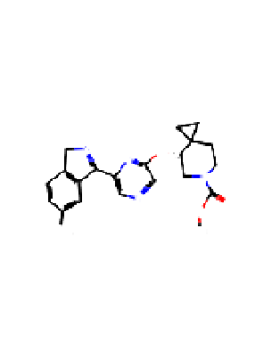 Cc1ccc2c(c1)C(c1cncc(O[C@H]3CN(C(=O)OC(C)(C)C)CCC34CC4)n1)=NC2